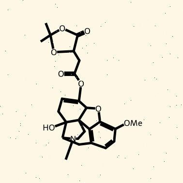 COc1ccc2c3c1OC1C(OC(=O)CC4OC(C)(C)OC4=O)=CCC4(O)C(C2)N(C)CCC314